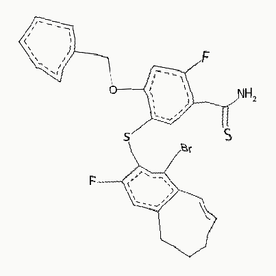 NC(=S)c1cc(Sc2c(F)cc3c(c2Br)C=CCCC3)c(OCc2ccccc2)cc1F